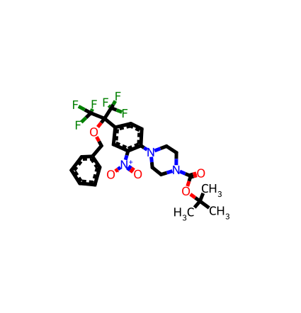 CC(C)(C)OC(=O)N1CCN(c2ccc(C(OCc3ccccc3)(C(F)(F)F)C(F)(F)F)cc2[N+](=O)[O-])CC1